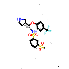 CS(=O)(=O)c1cccc(S(=O)(=O)NC[C@@H](Oc2ccc(C(F)(F)F)cc2)[C@H]2CCNC2)c1